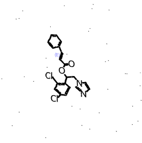 O=C(/C=C/c1ccccc1)OC(Cn1ccnc1)c1ccc(Cl)cc1Cl